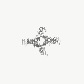 Cc1ccc(-c2c3nc(c(-c4ccc(C[N+](C)(C)C)cc4)c4ccc([nH]4)c(-c4ccc(C)cc4)c4nc(c(-c5ccc(C[N+](C)(C)C)cc5)c5ccc2[nH]5)C=C4)C=C3)cc1